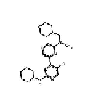 CN(CC1CCOCC1)c1cncc(-c2cc(NC3CCCCC3)ncc2Cl)n1